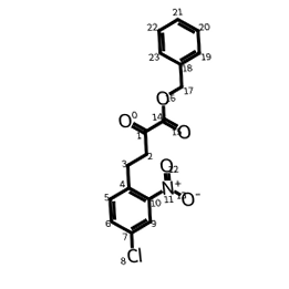 O=C(CCc1ccc(Cl)cc1[N+](=O)[O-])C(=O)OCc1ccccc1